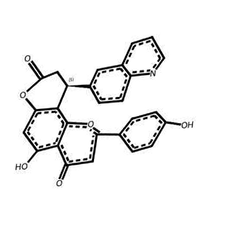 O=C1C[C@@H](c2ccc3ncccc3c2)c2c(cc(O)c3c(=O)cc(-c4ccc(O)cc4)oc23)O1